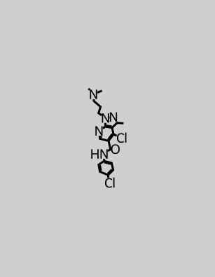 Cc1nn(CCCN(C)C)c2ncc(C(=O)Nc3ccc(Cl)cc3)c(Cl)c12